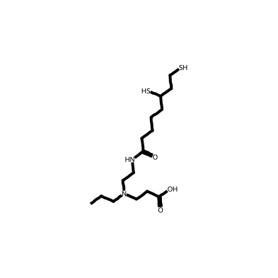 CCCN(CCNC(=O)CCCCC(S)CCS)CCC(=O)O